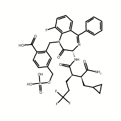 NC(=O)[C@@H](CC1CC1)[C@@H](CCC(F)(F)F)C(=O)N[C@H]1N=C(c2ccccc2)c2cccc(F)c2N(Cc2cc(COP(=O)(O)O)ccc2C(=O)O)C1=O